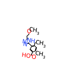 CCc1cc(C)c(C(=O)O)cc1-c1nnc(CCOC)[nH]1